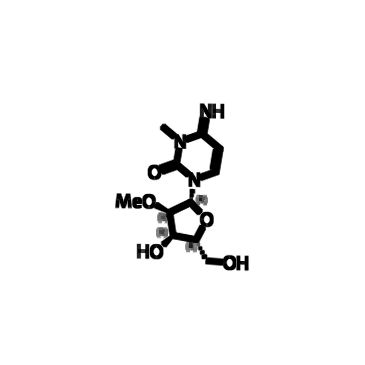 CO[C@@H]1[C@H](O)[C@@H](CO)O[C@H]1n1ccc(=N)n(C)c1=O